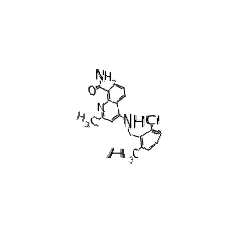 Cc1cc(NCc2c(C)cccc2Cl)c2cccc(C(N)=O)c2n1